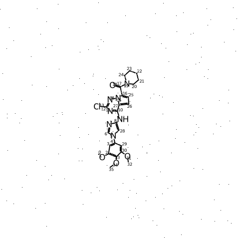 COc1cc(-n2cnc(Nc3nc(Cl)nn4c(C(=O)N5CCCCC5)ccc34)c2)cc(OC)c1OC